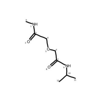 CNC(=O)COCC(=O)NC(C)C